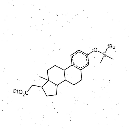 CCOC(=O)CC1CCC2C3CCc4cc(O[Si](C)(C)C(C)(C)C)ccc4C3CCC12C